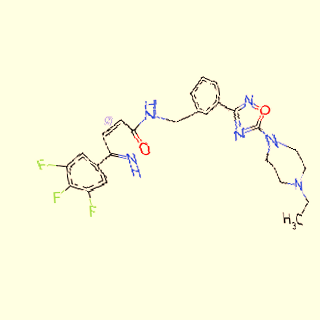 CCN1CCN(c2nc(-c3cccc(CNC(=O)/C=C\C(=N)c4cc(F)c(F)c(F)c4)c3)no2)CC1